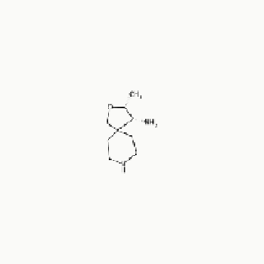 C[C@H]1OCC2(CCNCC2)[C@H]1N